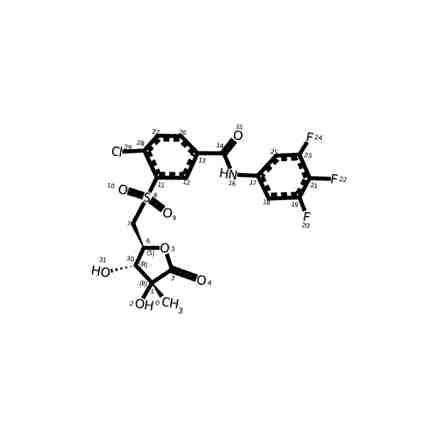 C[C@]1(O)C(=O)O[C@H](CS(=O)(=O)c2cc(C(=O)Nc3cc(F)c(F)c(F)c3)ccc2Cl)[C@H]1O